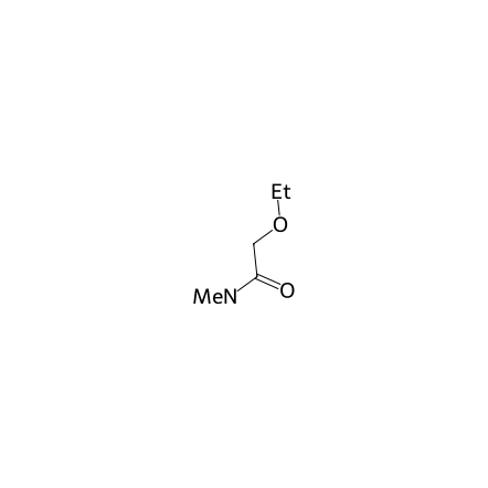 CCOCC(=O)NC